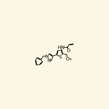 C=CC(=O)Nc1cc(-c2cnn(Cc3ccccc3)c2)sc1COC